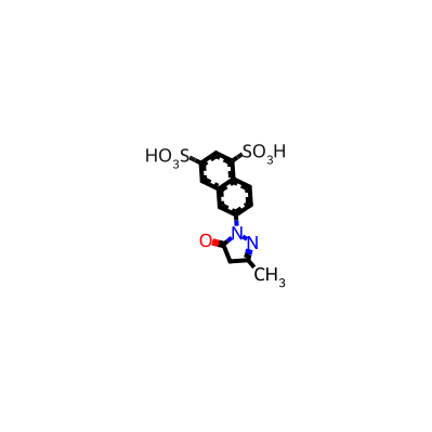 CC1=NN(c2ccc3c(S(=O)(=O)O)cc(S(=O)(=O)O)cc3c2)C(=O)C1